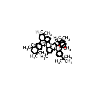 CC1=CC2C3B(c4ccc5c6c4N2c2cc4c(cc2C6(C)CCC5(C)C)C(C)(C)CCC4(C)C)c2sc4c(c2N(c2ccc(C(C)(C)C)cc2-c2ccccc2)C3=C1)C(C)(C)CCC4(C)C